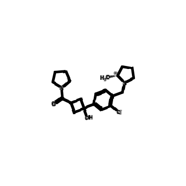 C[C@@H]1CCCN1Cc1ccc(C2(O)CC(C(=O)N3CCCC3)C2)cc1Cl